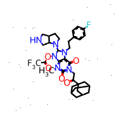 Cn1c2c(c(=O)n(CC(=O)C34CC5CC(CC(C5)C3)C4)c1=O)N(CCc1ccc(F)cc1)C(N1CCC3CNCC31)N2OC(=O)C(F)(F)F